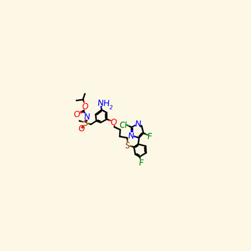 CC(C)OC(=O)N=S(C)(=O)Cc1cc(N)cc(OCCCCSc2cc(F)ccc2-c2nc(Cl)ncc2F)c1